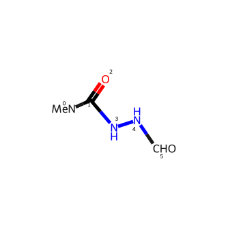 CNC(=O)NNC=O